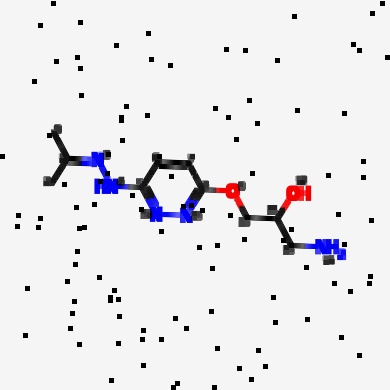 CC(C)=NNc1ccc(OCC(O)CN)nn1